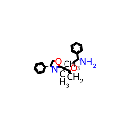 C=C(OC[C@@H](N)c1ccccc1)C(C)(C)C1=N[C@@H](c2ccccc2)CO1